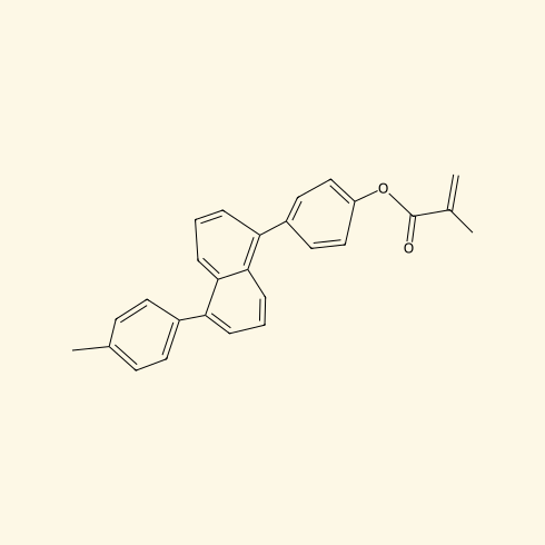 C=C(C)C(=O)Oc1ccc(-c2cccc3c(-c4ccc(C)cc4)cccc23)cc1